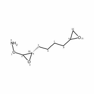 NOC1O[C@H]1CCCCC1CO1